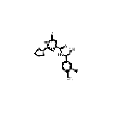 O=C(NC(CO)c1ccc(C(F)(F)F)c(F)c1)c1cc(=O)[nH]c(N2CCCC2)n1